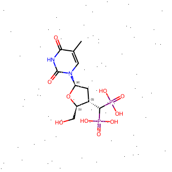 Cc1cn([C@H]2C[C@H](C(P(=O)(O)O)P(=O)(O)O)[C@@H](CO)O2)c(=O)[nH]c1=O